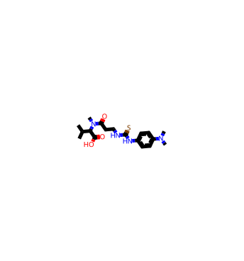 CC(C)C(C(=O)O)N(C)C(=O)CCNC(=S)Nc1ccc(N(C)C)cc1